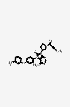 CC#CC(=O)N1CCC(n2c(=O)n(-c3ccc(Oc4cccc(C)c4)cc3)c3c(N)ncnc32)C1